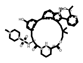 CCn1c(-c2cccnc2[C@H](C)OC)c2c3cc(ccc31)-c1cc(O)cc(c1)C[C@H](NS(=O)(=O)N1CCN(C)CC1)C(=O)N1CCC[C@H](N1)C(=O)OCC(C)(C)C2